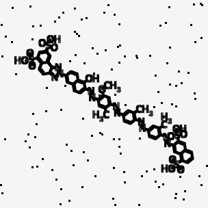 COc1cc(N=Nc2ccc(N=Nc3ccc(N=Nc4cc5c(S(=O)(=O)O)cccc5cc4S(=O)(=O)O)c(C)c3)c(C)c2)c(C)cc1N=Nc1ccc2cc(-n3nc4ccc5c(S(=O)(=O)O)cc(S(=O)(=O)O)cc5c4n3)ccc2c1O